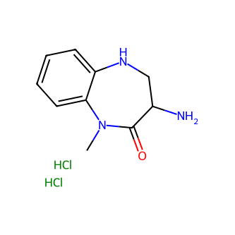 CN1C(=O)C(N)CNc2ccccc21.Cl.Cl